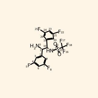 N[C@H](c1cc(F)cc(F)c1)[C@H](NS(=O)(=O)C(F)(F)F)c1cc(F)cc(F)c1